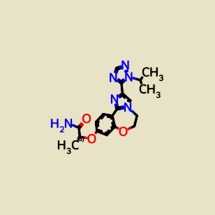 CC(C)n1ncnc1-c1cn2c(n1)-c1ccc(O[C@@H](C)C(N)=O)cc1OCC2